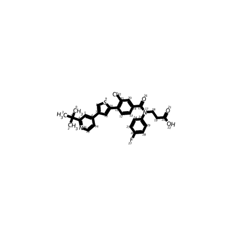 CC(C)(C)c1cc(-c2csc(-c3ccc(C(=O)N(CCC(=O)O)c4ccc(F)cc4)cc3Cl)c2)ccn1